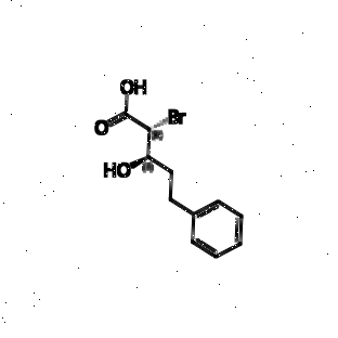 O=C(O)[C@H](Br)[C@H](O)CCc1ccccc1